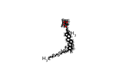 CCCOCCSSCCCNCc1c(F)c(F)c(Oc2ccc3c(c2)CCC2C3CCC3(C)C(OCCCOC(C(F)(F)F)(C(F)(F)F)C(F)(F)F)CCC23)c(F)c1F